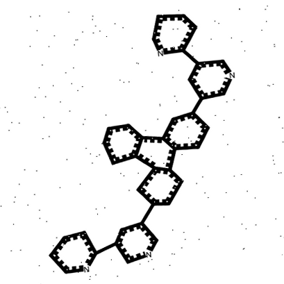 c1ccc(-c2cncc(-c3ccc4c5ccc(-c6cncc(-c7ccccn7)c6)cc5c5ccccc5c4c3)c2)nc1